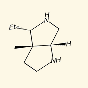 CC[C@@H]1NC[C@@H]2NCC[C@]12C